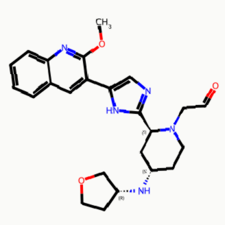 COc1nc2ccccc2cc1-c1cnc([C@@H]2C[C@@H](N[C@@H]3CCOC3)CCN2CC=O)[nH]1